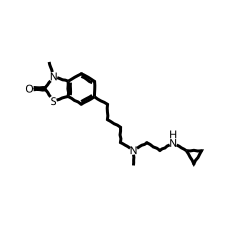 CN(CCCCc1ccc2c(c1)sc(=O)n2C)CCNC1CC1